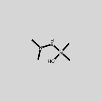 CN(C)B[Si](C)(C)O